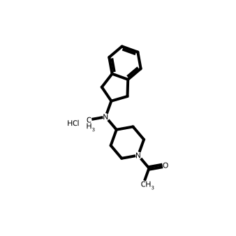 CC(=O)N1CCC(N(C)C2Cc3ccccc3C2)CC1.Cl